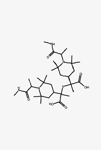 CNC(=O)C(C)N1C(C)(C)CC(C(C)(SC(C)(C(=O)O)C2CC(C)(C)N(C(C)C(=O)NC)C(C)(C)C2)C(=O)O)CC1(C)C